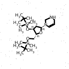 CC(C)(C)[Si](C)(C)OC[C@H]1O[C@@H](N2C=CCNC2)C[C@@H]1O[Si](C)(C)C(C)(C)C